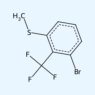 CSc1cccc(Br)c1C(F)(F)F